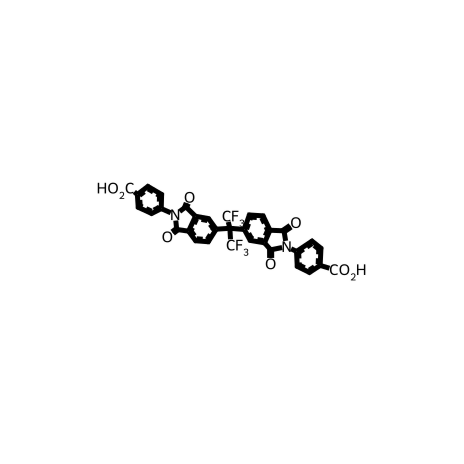 O=C(O)c1ccc(N2C(=O)c3ccc(C(c4ccc5c(c4)C(=O)N(c4ccc(C(=O)O)cc4)C5=O)(C(F)(F)F)C(F)(F)F)cc3C2=O)cc1